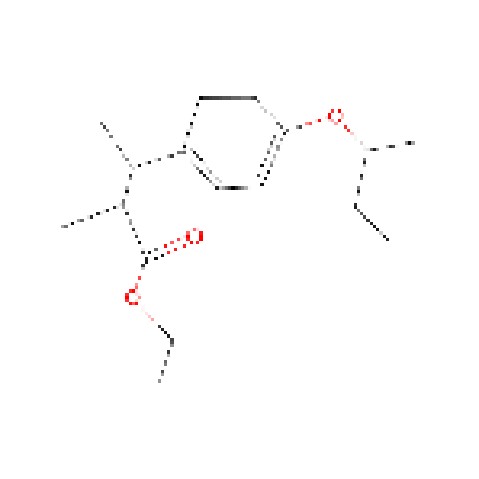 CCOC(=O)C(C)C(C)c1ccc(OC(C)CC)cc1